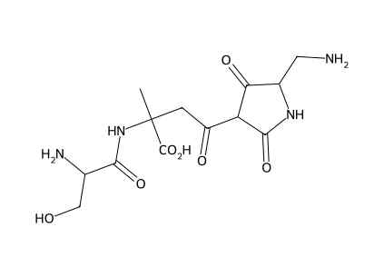 CC(CC(=O)C1C(=O)NC(CN)C1=O)(NC(=O)C(N)CO)C(=O)O